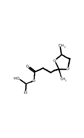 CCC(O)OC(=O)CCC1(C)OCC(C)O1